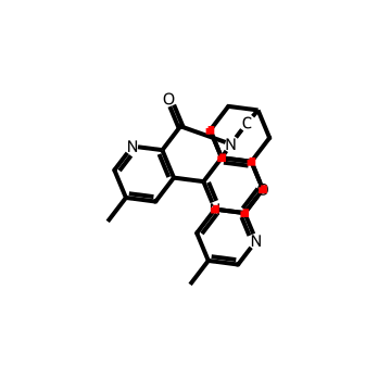 Cc1ccc(OC2CC3CCC2N(C(=O)c2ncc(C)cc2-c2ncccc2C)C3)nc1